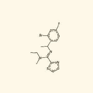 CCN(C)/C(=N\C(C)c1ccc(F)cc1Br)c1nccs1